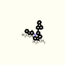 CC1(C)c2ccccc2-c2ccc(N(c3cccc(-c4ccc5c6c(cccc46)-c4ccccc4-5)c3)c3cccc4c3-c3ccccc3C4(C)C)cc21